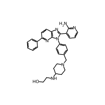 Nc1ncccc1-c1nc2ccc(-c3ccccc3)nc2n1-c1ccc(CN2CCC(NCCO)CC2)cc1